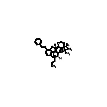 C=CCN1CC[C@]23c4c5ccc(OCc6ccccc6)c4O[C@H]2[C@@]24CC[C@]3(C[C@@H]2[C@@](C)(C(C)(C)C)OCO4)[C@H]1C5